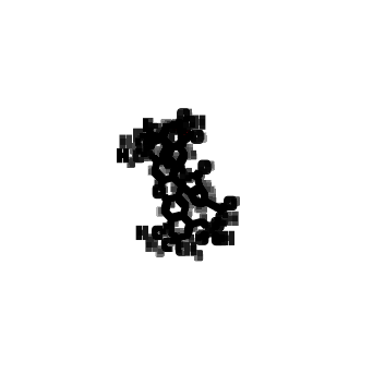 CN1c2cc3c(cc2C(CS(=O)(=O)O)=CC1(C)C)C1(c2cc4c(cc2O3)N(C)C(C)(C)C=C4CS(=O)(=O)O)c2ccc(C(=O)O)cc2C(=O)N1c1ccc2c(C(F)(F)F)cc(=O)oc2c1